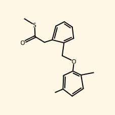 CSC(=O)Cc1ccccc1COc1cc(C)ccc1C